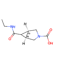 CCNC(=O)C1[C@H]2CN(C(=O)O)C[C@@H]12